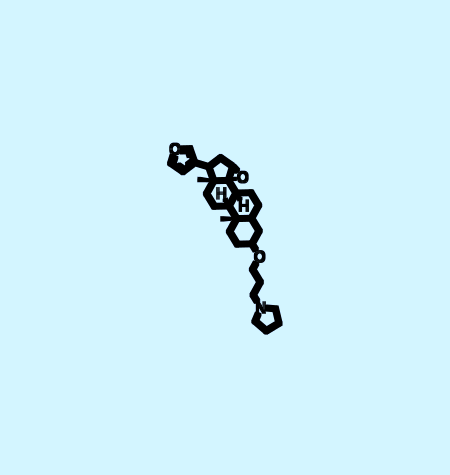 C[C@]12CCC(OCCCN3CCCC3)CC1CC[C@@H]1[C@H]2CC[C@]2(C)C(c3ccoc3)CC3O[C@]312